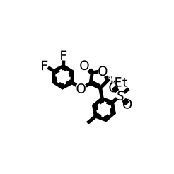 CC[C@H]1OC(=O)C(Oc2ccc(F)c(F)c2)=C1c1cc(C)ccc1S(C)(=O)=O